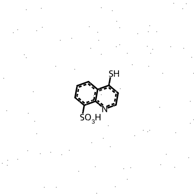 O=S(=O)(O)c1cccc2c(S)ccnc12